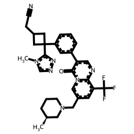 C[C@H]1CCCN(Cc2cc(C(F)(F)F)c3ncc(-c4cccc(C5(c6nncn6C)CC(CC#N)C5)c4)c(=O)n3c2)C1